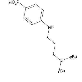 CCCCN(CCCC)CCCNc1ccc(C(=O)O)cc1